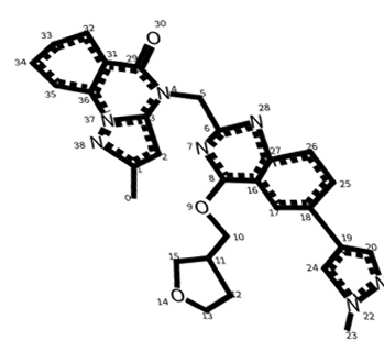 Cc1cc2n(Cc3nc(OCC4CCOC4)c4cc(-c5cnn(C)c5)ccc4n3)c(=O)c3ccccc3n2n1